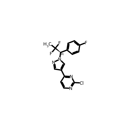 CC(F)(F)[C@@H](c1ccc(F)cc1)n1cc(-c2ccnc(Cl)n2)cn1